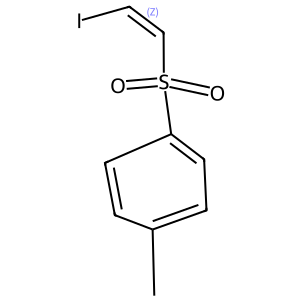 Cc1ccc(S(=O)(=O)/C=C\I)cc1